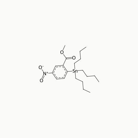 CCC[CH2][Sn]([CH2]CCC)([CH2]CCC)[c]1ccc([N+](=O)[O-])cc1C(=O)OC